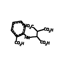 O=C(O)c1ccccc1NC(C(=O)O)C(C(=O)O)C(=O)O